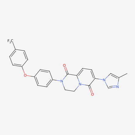 Cc1cn(-c2ccc3n(c2=O)CCN(c2ccc(Oc4ccc(C(F)(F)F)cc4)cc2)C3=O)cn1